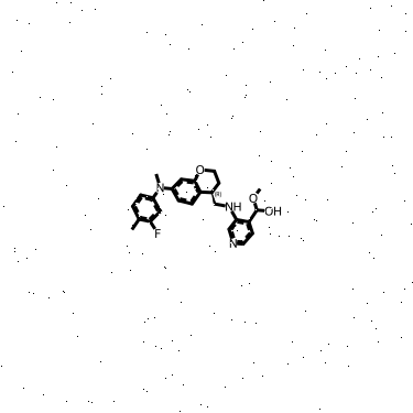 COC(O)c1ccncc1NC[C@@H]1CCOc2cc(N(C)c3ccc(C)c(F)c3)ccc21